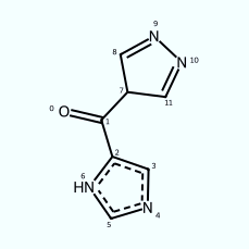 O=C(c1cnc[nH]1)C1C=NN=C1